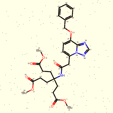 CC(C)(C)OC(=O)CCC(CCC(=O)OC(C)(C)C)(CCC(=O)OC(C)(C)C)NC(=O)Cc1ccc(OCc2ccccc2)c2ncnn12